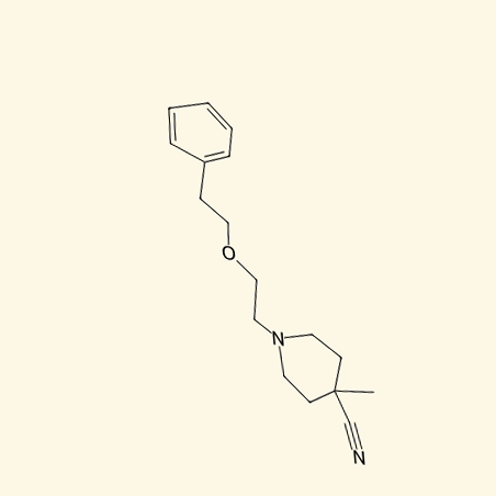 CC1(C#N)CCN(CCOCCc2ccccc2)CC1